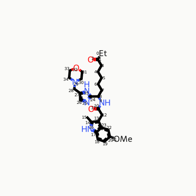 CCC(=O)CCCCCC(NC(=O)Cc1c(C)[nH]c2ccc(OC)cc12)c1ncc(CN2CCOCC2)[nH]1